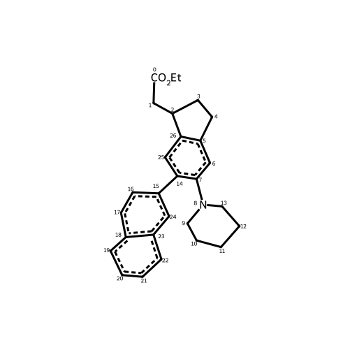 CCOC(=O)CC1CCc2cc(N3CCCCC3)c(-c3ccc4ccccc4c3)cc21